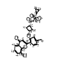 Cc1ccc(-c2cc(=O)c3cccc(Cl)c3o2)c(O[C@H]2C[C@@H](C(=O)NS(=O)(=O)C3CC3)C2)c1